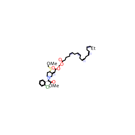 CC/C=C\C/C=C\C/C=C\C/C=C\C/C=C\CCCC(=O)OCOC(=O)/C=C1/CN([C@H](C(=O)OC)c2ccccc2Cl)CCC1SCOC